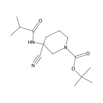 CC(C)C(=O)NC1(C#N)CCCN(C(=O)OC(C)(C)C)C1